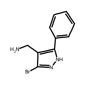 NCc1c(Br)n[nH]c1-c1ccccc1